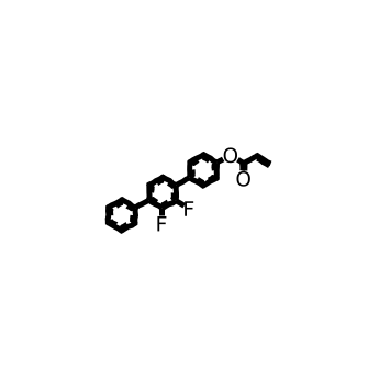 C=CC(=O)Oc1ccc(-c2ccc(-c3ccccc3)c(F)c2F)cc1